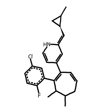 CC1CC=CC(C2=C/C(=C/[C@H]3CC3C)NC=C2)=C(c2cc(Cl)ccc2F)C1C